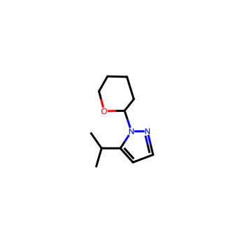 CC(C)c1ccnn1C1CCCCO1